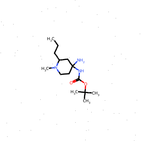 CCCC1CC(N)(NC(=O)OC(C)(C)C)CCN1C